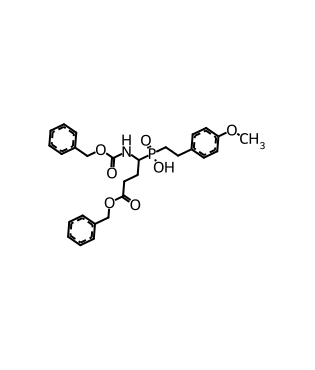 COc1ccc(CCP(=O)(O)C(CCC(=O)OCc2ccccc2)NC(=O)OCc2ccccc2)cc1